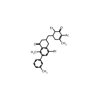 CCC1C(=O)C(C(C)=O)=C(C)CC1CC1CC(=O)c2c(C)c(-c3cccc(C)c3)cc(C(C)C)c2C1